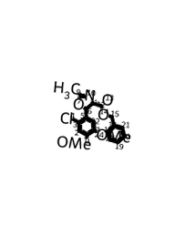 COc1cc(Cl)c(C2OC(C)=NC2C(=O)OCc2ccccc2)cc1OC